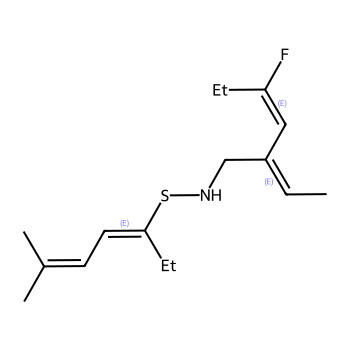 C/C=C(\C=C(\F)CC)CNS/C(=C/C=C(C)C)CC